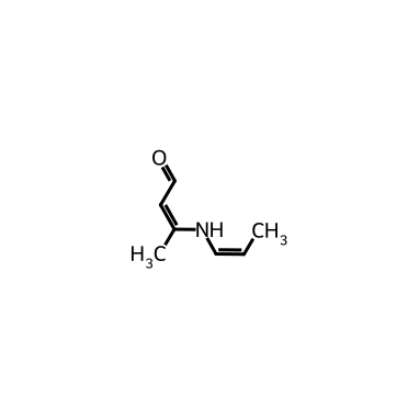 C/C=C\N/C(C)=C\C=O